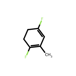 CC1=C(F)CCC(F)=C1